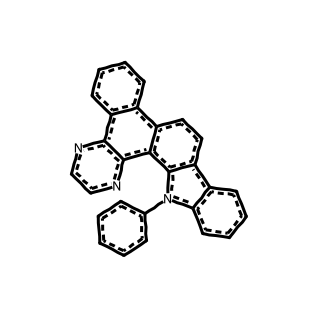 c1ccc(-n2c3ccccc3c3ccc4c5ccccc5c5nccnc5c4c32)cc1